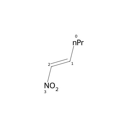 CCCC=C[N+](=O)[O-]